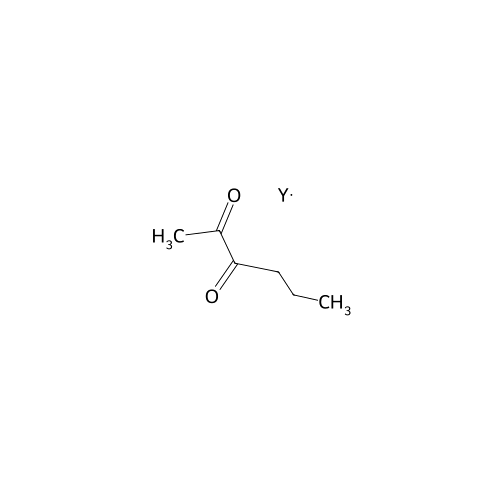 CCCC(=O)C(C)=O.[Y]